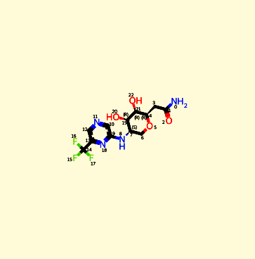 NC(=O)C[C@H]1OC[C@H](Nc2cncc(C(F)(F)F)n2)[C@@H](O)[C@H]1O